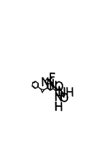 O=c1[nH]cc(-c2cc(C3CC3c3ccccc3)c3ncc(F)n3n2)c(=O)[nH]1